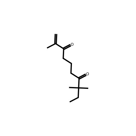 C=C(C)C(=O)CCCC(=O)C(C)(C)CC